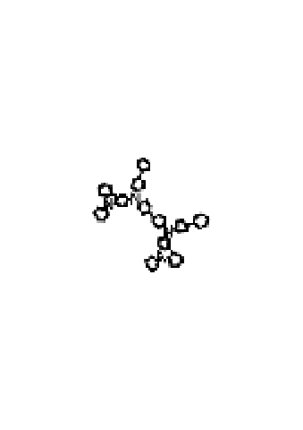 C1=CCCC(n2c3ccccc3c3cc(N(c4ccc(-c5ccccc5)cc4)c4ccc(-c5ccc(N(c6ccc(-c7ccccc7)cc6)c6ccc7c(c6)c6ccccc6n7-c6ccccc6)cc5)cc4)ccc32)=C1